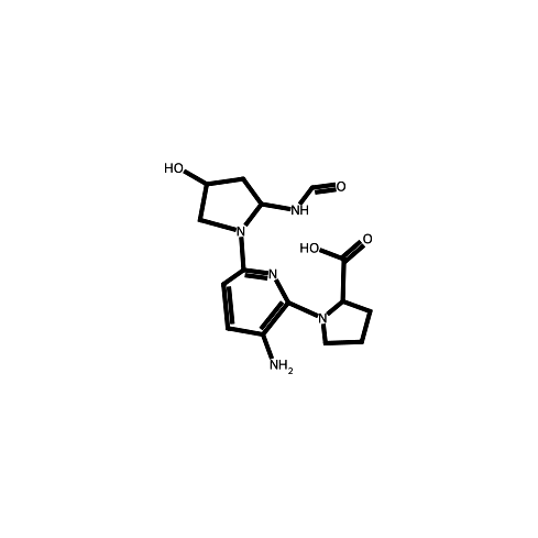 Nc1ccc(N2CC(O)CC2NC=O)nc1N1CCCC1C(=O)O